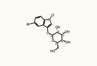 OC[C@H]1O[C@@H](Oc2cn(Cl)c3ccc(Br)cc23)[C@H](O)[C@@H](O)[C@H]1O